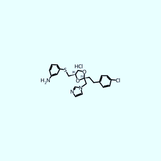 Cl.Nc1cccc(SC[C@H]2CO[C@](CCc3ccc(Cl)cc3)(Cn3ccnc3)O2)c1